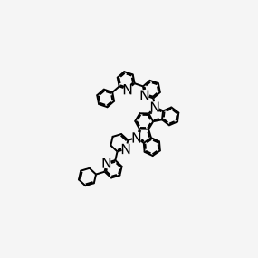 C1=CCC(c2cccc(C3=NC(n4c5ccccc5c5c6c7ccccc7n(-c7cccc(-c8cccc(-c9ccccc9)n8)n7)c6ccc54)=CCC3)n2)C=C1